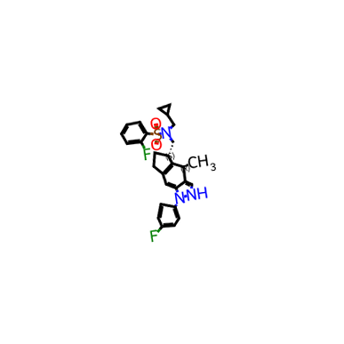 C[C@H]1C2=CNN(c3ccc(F)cc3)C2=CC2=C1[C@@H](CN(CC1CC1)S(=O)(=O)c1ccccc1F)CC2